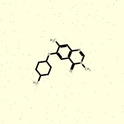 Cc1cc2ncn(C)c(=O)c2cc1OC1CCC(C)CC1